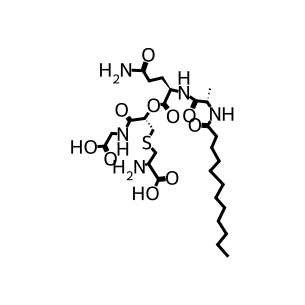 CCCCCCCCCCCC(=O)N[C@@H](C)C(=O)N[C@H](CCC(N)=O)C(=O)O[C@H](CSC[C@H](N)C(=O)O)C(=O)NCC(=O)O